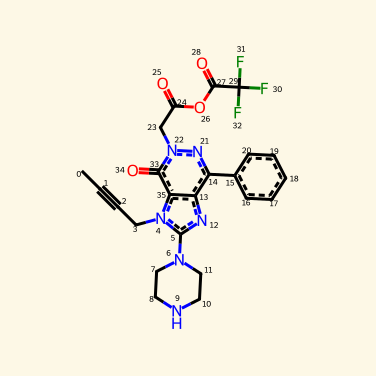 CC#CCn1c(N2CCNCC2)nc2c(-c3ccccc3)nn(CC(=O)OC(=O)C(F)(F)F)c(=O)c21